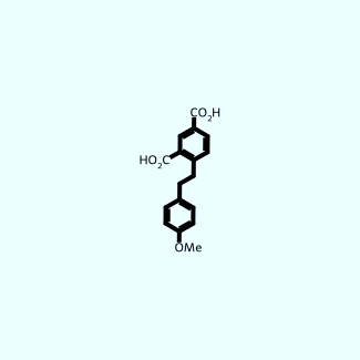 COc1ccc(CCc2ccc(C(=O)O)cc2C(=O)O)cc1